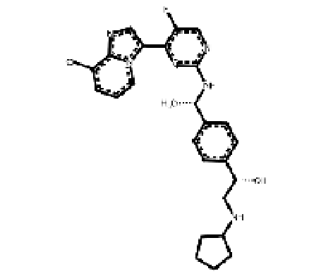 C[C@H](Nc1ncc(F)c(-c2cnc3c(Cl)cccn23)n1)c1ccc([C@H](O)CNC2CCCC2)cc1